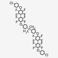 CC(C)(c1ccc(Oc2c(F)c(F)c(-c3c(F)c(F)c(Oc4ccc(Cl)cc4)c(F)c3F)c(F)c2F)cc1)c1ccc(Oc2c(F)c(F)c(-c3c(F)c(F)c(Oc4ccc(Cl)cc4)c(F)c3F)c(F)c2F)cc1